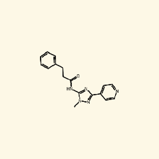 Cn1nc(-c2ccncc2)nc1NC(=O)CCc1ccccc1